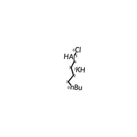 CCCCCCC[CH2][AlH][Cl].[KH]